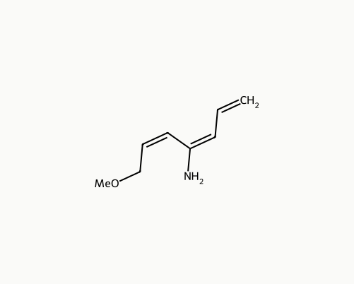 C=C/C=C(N)\C=C/COC